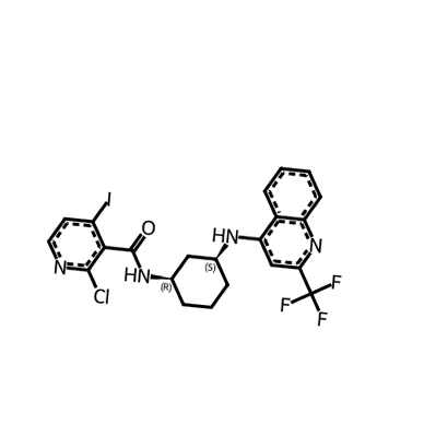 O=C(N[C@@H]1CCC[C@H](Nc2cc(C(F)(F)F)nc3ccccc23)C1)c1c(I)ccnc1Cl